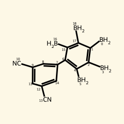 Bc1c(B)c(B)c(-c2cc(C#N)cc(C#N)c2)c(B)c1B